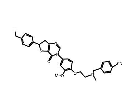 COc1cc(-n2cnc3c(c2=O)SC(c2ccc(CI)cc2)C3)ccc1OCCN(C)Cc1ccc(C#N)cc1